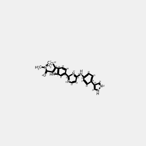 CN(C)C(=O)c1[nH]c2cc(-c3nccc(Nc4ccc(-c5cn[nH]c5)cc4)n3)ccc2c1Cl